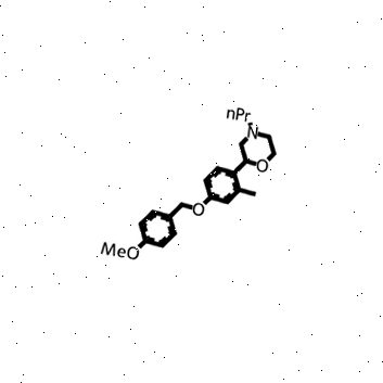 CCCN1CCOC(c2ccc(OCc3ccc(OC)cc3)cc2C)C1